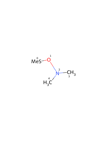 CSON(C)C